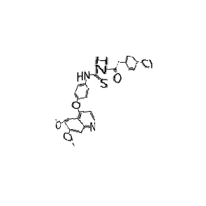 COc1cc2nccc(Oc3ccc(NC(=S)NC(=O)Cc4ccc(Cl)cc4)cc3)c2cc1OC